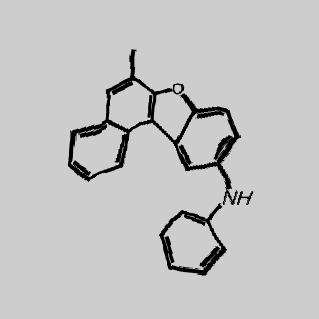 Cc1cc2ccccc2c2c1oc1ccc(Nc3ccccc3)cc12